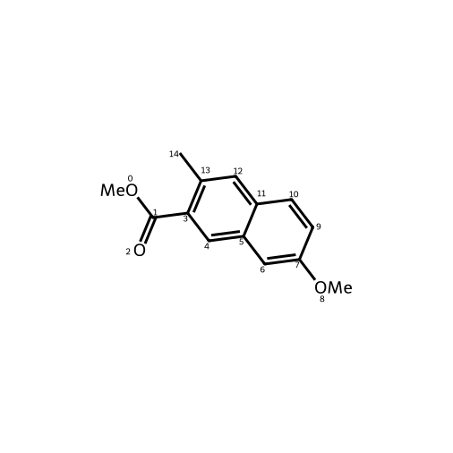 COC(=O)c1cc2cc(OC)ccc2cc1C